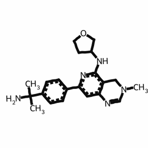 CN1C=Nc2cc(-c3ccc(C(C)(C)N)cc3)nc(NC3CCOC3)c2C1